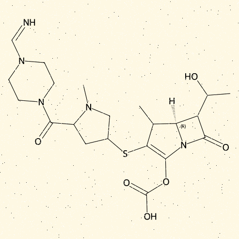 CC(O)C1C(=O)N2C(OC(=O)O)=C(SC3CC(C(=O)N4CCN(C=N)CC4)N(C)C3)C(C)[C@@H]12